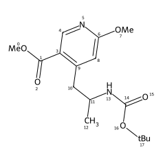 COC(=O)c1cnc(OC)cc1CC(C)NC(=O)OC(C)(C)C